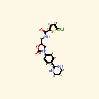 O=C(NC[C@H]1CN(c2ccc(C3=NCCCN3)cc2)C(=O)O1)c1ccc(Cl)s1